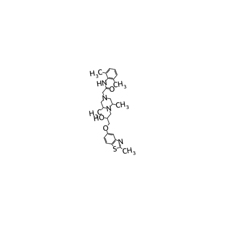 Cc1nc2cc(OCC(O)CN3C(C)CN(CC(=O)Nc4c(C)cccc4C)CC3C)ccc2s1